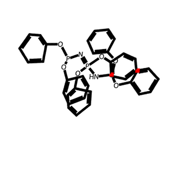 c1ccc(OP(N=P(NP(Oc2ccccc2)Oc2ccccc2)(Oc2ccccc2)Oc2ccccc2)Oc2ccccc2)cc1